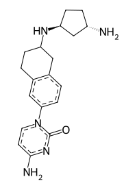 Nc1ccn(-c2ccc3c(c2)CCC(N[C@H]2CC[C@H](N)C2)C3)c(=O)n1